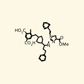 COC(=O)C1CN(C=Cc2ccccc2)C=N1.Cc1c(CC2CCC(C(CCc3ccccc3)N(C)C)CC2)cc(C(=O)O)cc1C(=O)O